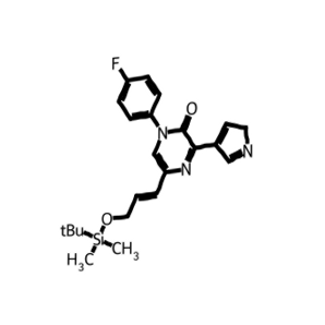 CC(C)(C)[Si](C)(C)OC/C=C/c1cn(-c2ccc(F)cc2)c(=O)c(C2=CCN=C2)n1